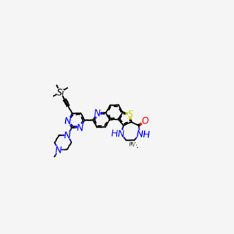 C[C@@H]1CNc2c(sc3ccc4nc(-c5cc(C#C[Si](C)(C)C)nc(N6CCN(C)CC6)n5)ccc4c23)C(=O)N1